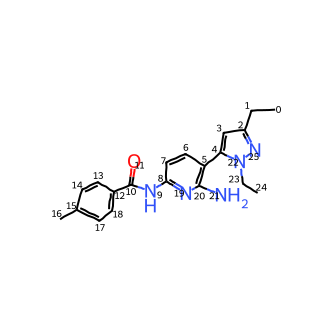 CCc1cc(-c2ccc(NC(=O)c3ccc(C)cc3)nc2N)n(CC)n1